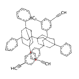 C#Cc1cc(C#C)cc(C23CC4(c5ccccc5)CC(c5ccccc5)(C2)CC(C25CC6(c7ccccc7)CC(c7ccccc7)(CC(c7cc(C#C)cc(C#C)c7)(C6)C2)C5)(C4)C3)c1